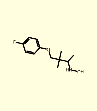 CC(NO)C(C)(C)COc1ccc(F)cc1